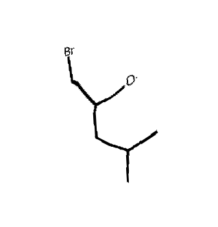 CC(C)CC([O])CBr